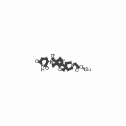 CC(C)(C)OC(=O)CN1CCC2(CC1)COc1c2ccc2c1CN([C@H]1CCC(=O)NC1=O)C2=O